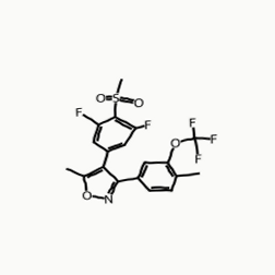 Cc1ccc(-c2noc(C)c2-c2cc(F)c(S(C)(=O)=O)c(F)c2)cc1OC(F)(F)F